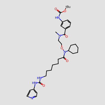 CN(CCON(C(=O)CCCCCCNC(=O)Nc1ccncc1)C1CCCCC1)C(=O)c1cccc(NC(=O)OC(C)(C)C)c1